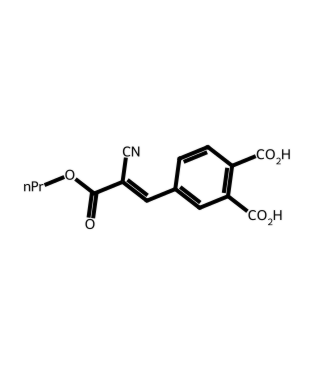 CCCOC(=O)/C(C#N)=C/c1ccc(C(=O)O)c(C(=O)O)c1